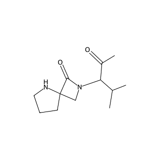 CC(=O)C(C(C)C)N1CC2(CCCN2)C1=O